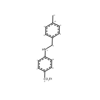 CCOC(=O)c1ccc(NCc2ccc(C)cc2)cc1